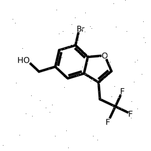 OCc1cc(Br)c2occ(CC(F)(F)F)c2c1